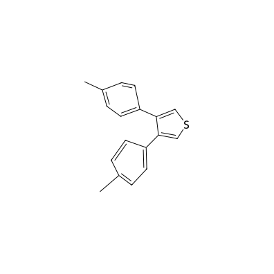 Cc1ccc(-c2cscc2-c2ccc(C)cc2)cc1